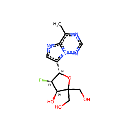 Cc1ncnn2c([C@@H]3OC(CO)(CO)[C@@H](O)[C@H]3F)cnc12